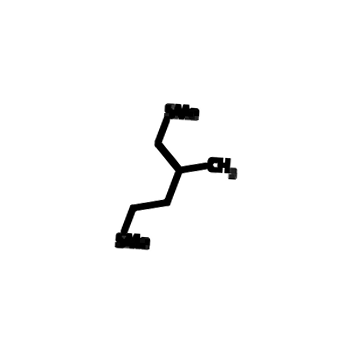 CSCCC(C)CSC